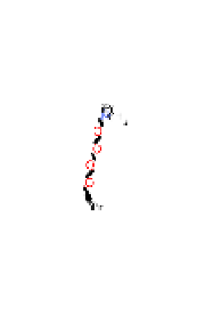 CC(C)C#CCOCCOCCOCCOCCN(C)C(C)C